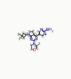 C[C@H]1COCCN1c1nc(-c2cnc(N)nc2)c2c(n1)N(C1CC(F)(F)C1)CC2